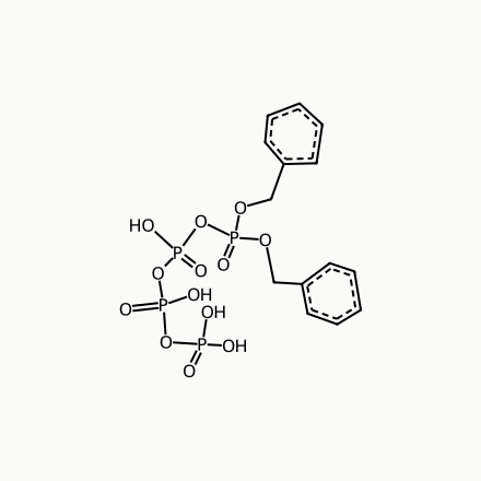 O=P(O)(O)OP(=O)(O)OP(=O)(O)OP(=O)(OCc1ccccc1)OCc1ccccc1